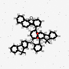 CC1(C)c2ccccc2-c2ccc(N(c3ccc(-c4cccc5oc6c7ccccc7ccc6c45)cc3)c3ccccc3-c3cccc4c3C(C)(C)c3ccccc3-4)cc21